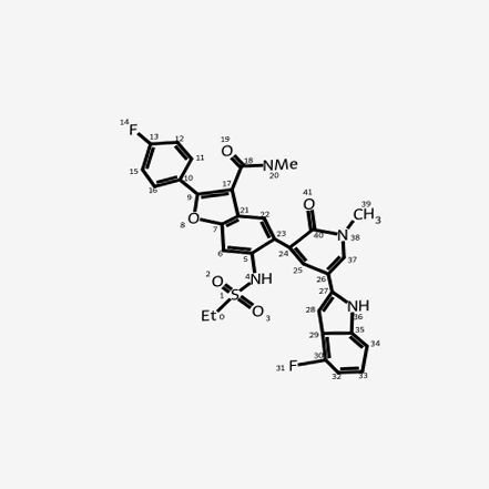 CCS(=O)(=O)Nc1cc2oc(-c3ccc(F)cc3)c(C(=O)NC)c2cc1-c1cc(-c2cc3c(F)cccc3[nH]2)cn(C)c1=O